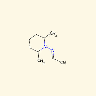 CC1CCCC(C)N1N=CC#N